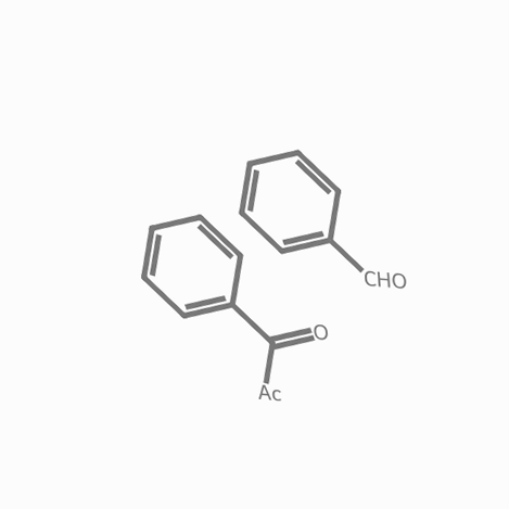 CC(=O)C(=O)c1ccccc1.O=Cc1ccccc1